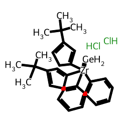 CC(C)(C)C1=CC[C]([Zr](=[GeH2])([C]2=CC(C(C)(C)C)=CC2)([c]2ccccc2)[c]2ccccc2)=C1.Cl.Cl